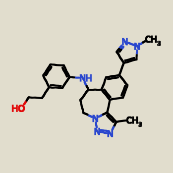 Cc1nnn2c1-c1ccc(-c3cnn(C)c3)cc1C(Nc1cccc(CCO)c1)CC2